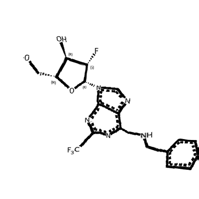 [O]C[C@H]1O[C@@H](n2cnc3c(NCc4ccccc4)nc(C(F)(F)F)nc32)[C@@H](F)[C@@H]1O